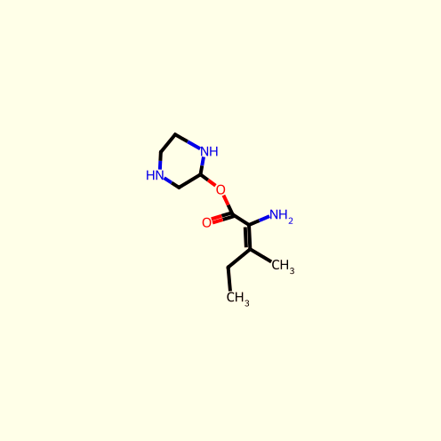 CC/C(C)=C(/N)C(=O)OC1CNCCN1